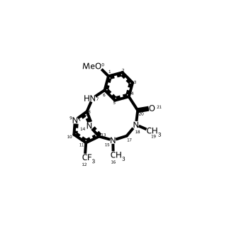 COc1ccc2cc1Nc1ncc(C(F)(F)F)c(n1)N(C)CN(C)C2=O